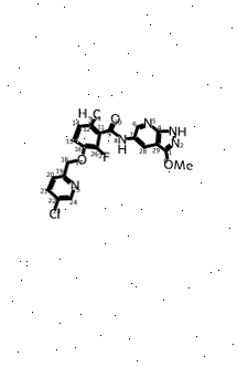 COc1n[nH]c2ncc(NC(=O)c3c(C)ccc(OCc4ccc(Cl)cn4)c3F)cc12